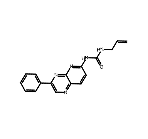 C=CCNC(=O)Nc1ccc2ncc(-c3cc[c]cc3)nc2n1